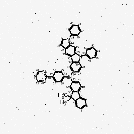 CC1(C)c2ccccc2-c2ccc(N(c3ccc(-c4ncncn4)cc3)c3ccc4c(c3)c3cc5ccn(-c6ccccc6)c5cc3n4-c3ccccc3)cc21